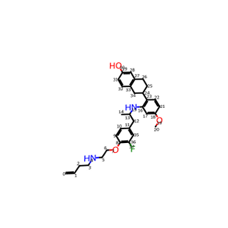 C=CCCNCCOc1ccc(CC(C)Nc2cc(OC)ccc2C2CCc3cc(O)ccc3C2)cc1F